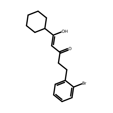 O=C(/C=C(\O)C1CCCCC1)CCc1ccccc1Br